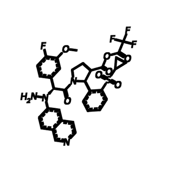 COc1cc([C@@H](C(=O)N2CCC(C(=O)OC(=O)C(F)(F)F)C2c2ccccc2S(=O)(=O)C2CC2)N(N)c2ccc3cnccc3c2)ccc1F